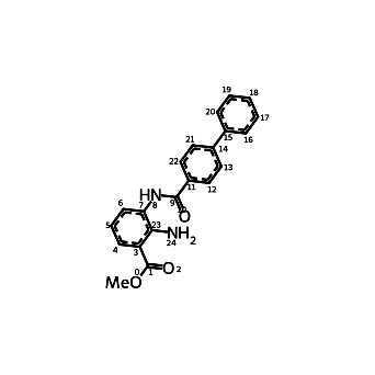 COC(=O)c1cccc(NC(=O)c2ccc(-c3ccccc3)cc2)c1N